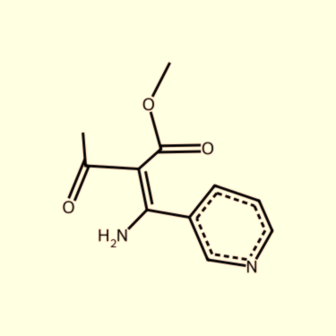 COC(=O)C(C(C)=O)=C(N)c1cccnc1